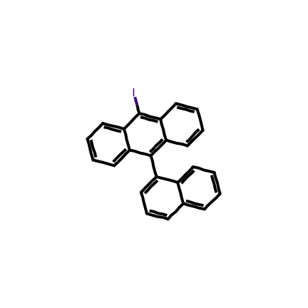 Ic1c2ccccc2c(-c2cccc3ccccc23)c2ccccc12